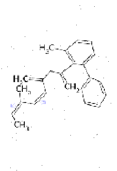 C=C(/C=C\C(C)=C/C)CC(=C)c1c(C)cccc1-c1ccccc1